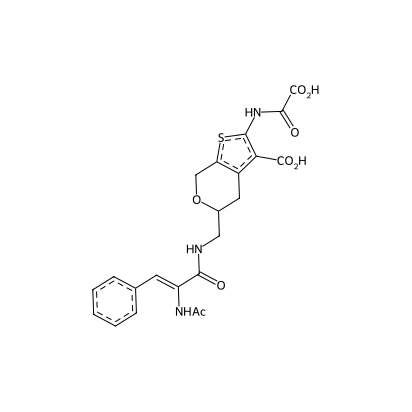 CC(=O)NC(=Cc1ccccc1)C(=O)NCC1Cc2c(sc(NC(=O)C(=O)O)c2C(=O)O)CO1